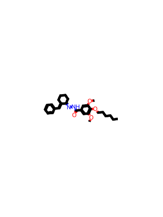 CCCCCCOc1c(OC)cc(C(=O)NN=C2CCCCC2=Cc2ccccc2)cc1OC